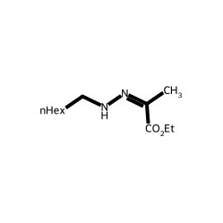 CCCCCCCN/N=C(/C)C(=O)OCC